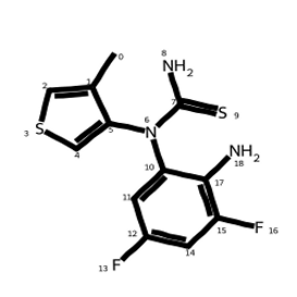 Cc1cscc1N(C(N)=S)c1cc(F)cc(F)c1N